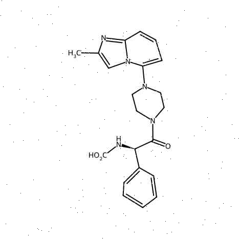 Cc1cn2c(N3CCN(C(=O)[C@H](NC(=O)O)c4ccccc4)CC3)cccc2n1